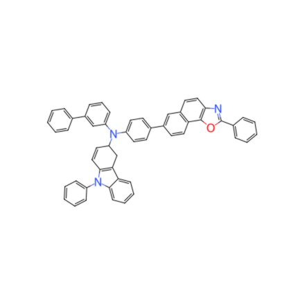 C1=CC(N(c2ccc(-c3ccc4c(ccc5nc(-c6ccccc6)oc54)c3)cc2)c2cccc(-c3ccccc3)c2)Cc2c1n(-c1ccccc1)c1ccccc21